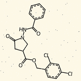 O=C(NN1CC(C(=O)OCc2ccc(Cl)cc2Cl)CC1=O)c1ccccc1